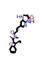 CCc1c([C@@H](C)N(C)C(=O)/C=C/c2cnc3c(c2)NCCC(=O)N3)oc2ccccc12